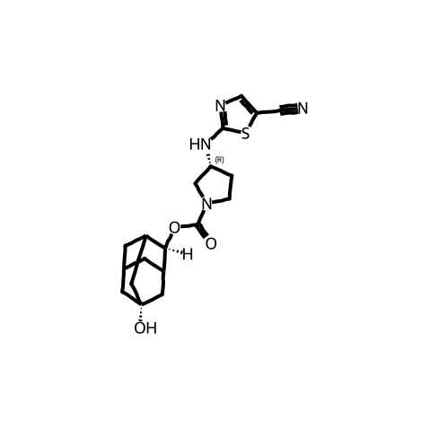 N#Cc1cnc(N[C@@H]2CCN(C(=O)O[C@H]3C4CC5CC3C[C@](O)(C5)C4)C2)s1